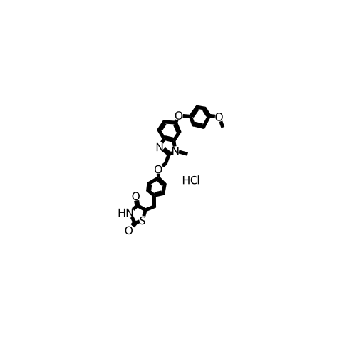 COc1ccc(Oc2ccc3nc(COc4ccc(CC5SC(=O)NC5=O)cc4)n(C)c3c2)cc1.Cl